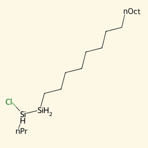 CCCCCCCCCCCCCCCC[SiH2][SiH](Cl)CCC